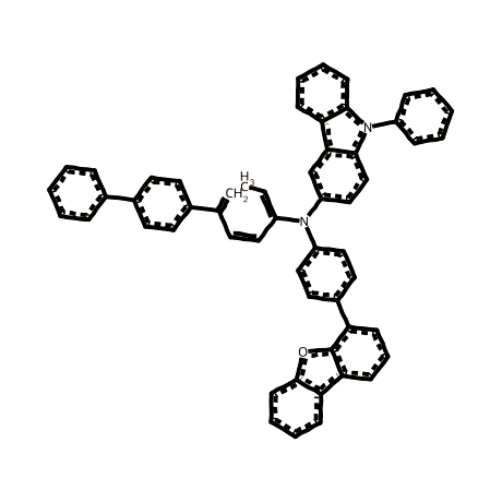 C=C(/C=C\C(=C/C)N(c1ccc(-c2cccc3c2oc2ccccc23)cc1)c1ccc2c(c1)c1ccccc1n2-c1ccccc1)c1ccc(-c2ccccc2)cc1